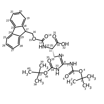 CC(C)(C)OC(=O)NC(=NC[C@H](NC(=O)OCC1c2ccccc2-c2ccccc21)C(=O)O)NC(=O)OC(C)(C)C